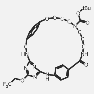 CC(C)(C)OC(=O)N1CCCNC(=O)c2ccc(cc2)Nc2nc(nc(OCC(F)(F)F)n2)NCc2ccc(cc2)OCCC1